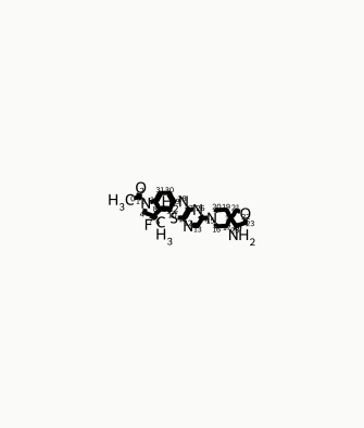 CC(=O)N1CC(C)(F)c2c(Sc3ncc(N4CCC5(CC4)COC[C@H]5N)nc3N)cccc21